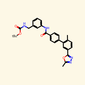 Cc1nnc(-c2ccc(C)c(-c3ccc(C(=O)Nc4cccc(CNC(=O)OC(C)(C)C)c4)cc3)c2)o1